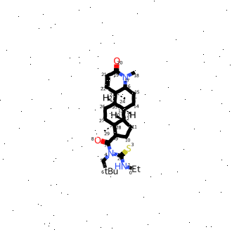 CCNC(=S)N(CC(C)(C)C)C(=O)C1CC[C@H]2[C@@H]3CCC4N(C)C(=O)C=C[C@]4(C)[C@@H]3CC[C@]12C